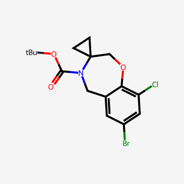 CC(C)(C)OC(=O)N1Cc2cc(Br)cc(Cl)c2OCC12CC2